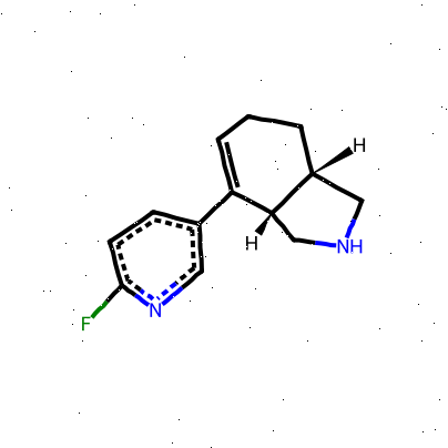 Fc1ccc(C2=CCC[C@@H]3CNC[C@H]23)cn1